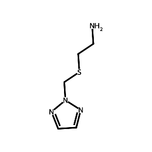 NCCSCn1nccn1